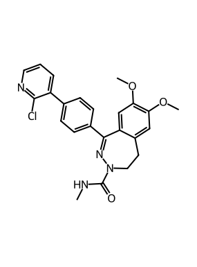 CNC(=O)N1CCc2cc(OC)c(OC)cc2C(c2ccc(-c3cccnc3Cl)cc2)=N1